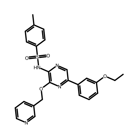 CCOc1cccc(-c2cnc(NS(=O)(=O)c3ccc(C)cc3)c(OCc3cccnc3)n2)c1